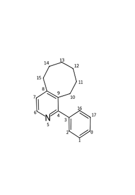 c1ccc(-c2nccc3c2CCCCCC3)cc1